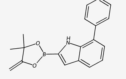 C=C1OB(c2cc3cccc(-c4ccccc4)c3[nH]2)OC1(C)C